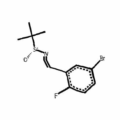 CC(C)(C)[S@@+]([O-])N=Cc1cc(Br)ccc1F